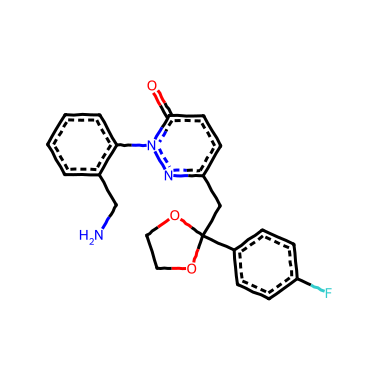 NCc1ccccc1-n1nc(CC2(c3ccc(F)cc3)OCCO2)ccc1=O